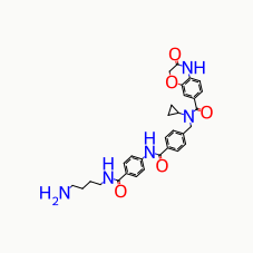 NCCCCNC(=O)c1ccc(NC(=O)c2ccc(CN(C(=O)c3ccc4c(c3)OCC(=O)N4)C3CC3)cc2)cc1